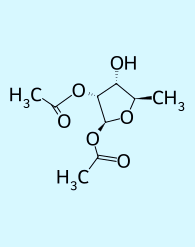 CC(=O)O[C@@H]1O[C@H](C)[C@@H](O)[C@H]1OC(C)=O